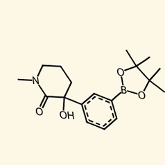 CN1CCCC(O)(c2cccc(B3OC(C)(C)C(C)(C)O3)c2)C1=O